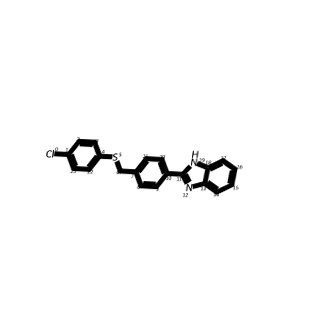 Clc1ccc(SCc2ccc(-c3nc4ccccc4[nH]3)cc2)cc1